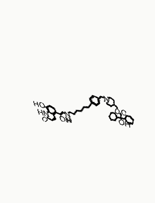 O=C(OCC1CCN(Cc2ccc(CCCCCCNC[C@H](O)c3ccc(O)c4[nH]c(=O)ccc34)cc2)CC1)C(O)(C1C=CC=CC1)C1CCCCC1